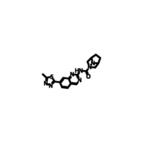 Cc1nnc(-c2ccc3cnc(NC(=O)N4CC5CCC(C4)N5C)nc3c2)s1